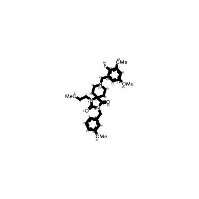 COCCN1C(=O)N(Cc2cccc(OC)c2)C(=O)C12CCN(Cc1cc(OC)cc(OC)c1F)CC2